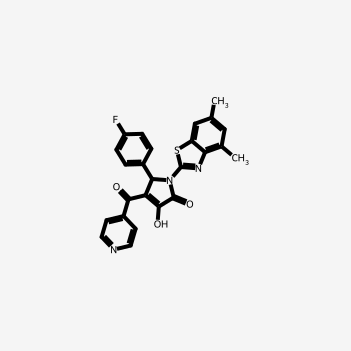 Cc1cc(C)c2nc(N3C(=O)C(O)=C(C(=O)c4ccncc4)C3c3ccc(F)cc3)sc2c1